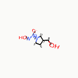 [O-]/[N+](=N\O)N1CCC(CO)C1